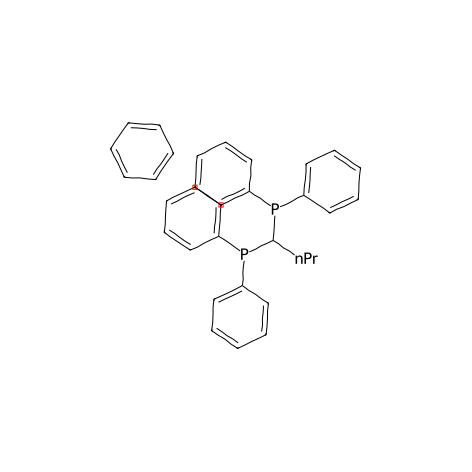 CCCC(P(c1ccccc1)c1ccccc1)P(c1ccccc1)c1ccccc1.c1ccccc1